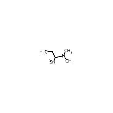 CC[CH]([Sn])N(C)C